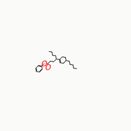 CCCCCC1CC=C(C(CCCC)CCC(=O)Oc2ccccc2)CC1